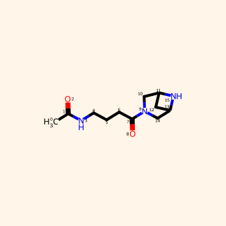 CC(=O)NCCCC(=O)N1CC2CC(C1)N2